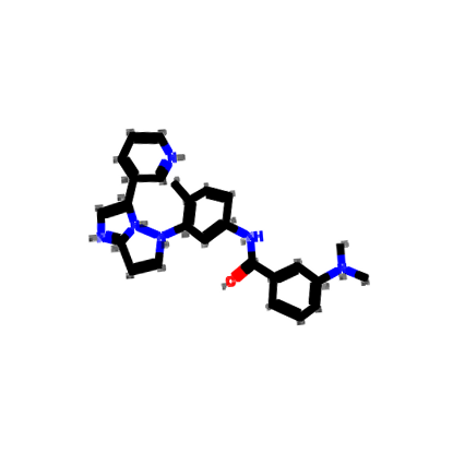 Cc1ccc(NC(=O)c2cccc(N(C)C)c2)cc1-n1ccc2ncc(-c3cccnc3)n21